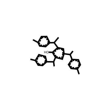 Cc1ccc(C(C)c2cc(C(C)c3ccc(C)cc3)c(O)c(C(C)c3ccc(C)cc3)c2)cc1